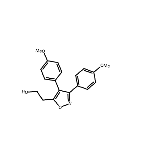 COc1ccc(-c2noc(CCO)c2-c2ccc(OC)cc2)cc1